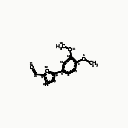 COc1ccc(-c2cnc(C=O)o2)cc1OC